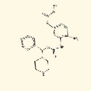 CC(C)(C)OC(=O)Nc1ccc([N+](=O)[O-])c(NC(=O)OC(c2ccncc2)C2CCNCC2)c1